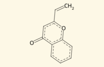 C=Cc1cc(=O)c2ccccc2o1